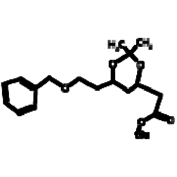 CC(C)(C)OC(=O)CC1CC(CCOCc2ccccc2)OC(C)(C)O1